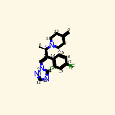 C=C1CCN([C@H](C)/C(=C/n2cncn2)c2ccc(F)cc2F)CC1